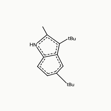 Cc1[nH]c2ccc(C(C)(C)C)cc2c1C(C)(C)C